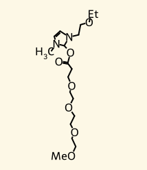 CCOCCN1C=CN(C)C1OC(=O)CCOCCOCCOCCOC